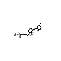 C=C1/C(=C\C=C2/CCC[C@]3(C)[C@@H]([C@H](C)CCCC(=O)OC(C)(C)C)CC[C@@H]23)C[C@@H](C)C[C@@H]1C